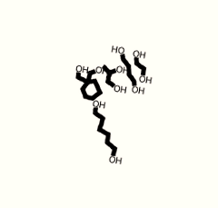 CC(O)CO.OCC1(CO)CCCCC1.OCCCCCCO.OCCCCO.OCCO